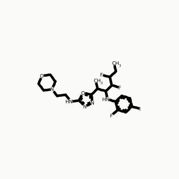 CCC(F)C(F)C(Nc1ccc(I)cc1F)C(C)c1nnc(NCCN2CCOCC2)o1